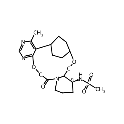 Cc1ncnc2c1C1CCC(CC1)OCC1[C@@H](NS(C)(=O)=O)CCCN1C(=O)CO2